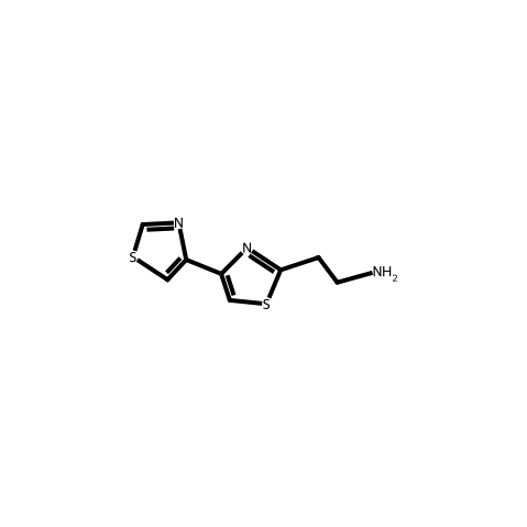 NCCc1nc(-c2cscn2)cs1